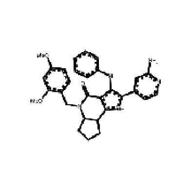 COc1ccc(CN2C(=O)c3c([nH]c(-c4ccnc(N)c4)c3Nc3ccccc3)C3CCCC32)c(OC)c1